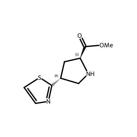 COC(=O)[C@@H]1C[C@@H](c2nccs2)CN1